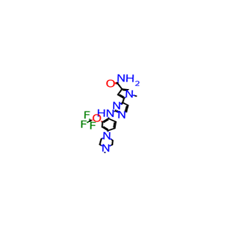 CN1CCN(c2ccc(Nc3nccc(-c4cc(C(N)=O)cn4C)n3)c(OC(F)(F)F)c2)CC1